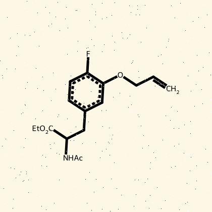 C=CCOc1cc(CC(NC(C)=O)C(=O)OCC)ccc1F